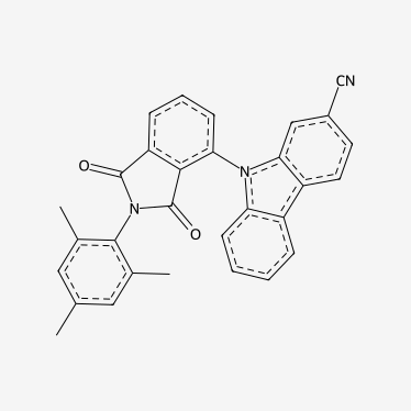 Cc1cc(C)c(N2C(=O)c3cccc(-n4c5ccccc5c5ccc(C#N)cc54)c3C2=O)c(C)c1